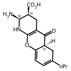 CCCC1=CC=C2OC3=C(C[C@H](C(=O)O)[C@H](N)N3)C(=O)[C@H]2C1